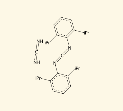 CC(C)c1cccc(C(C)C)c1N=C=Nc1c(C(C)C)cccc1C(C)C.N=C=N